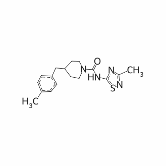 Cc1ccc(CC2CCN(C(=O)Nc3nc(C)ns3)CC2)cc1